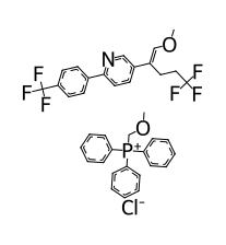 COC=C(CCC(F)(F)F)c1ccc(-c2ccc(C(F)(F)F)cc2)nc1.COC[P+](c1ccccc1)(c1ccccc1)c1ccccc1.[Cl-]